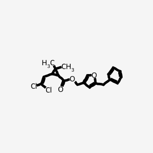 CC1(C)C(C=C(Cl)Cl)C1C(=O)OCc1coc(Cc2ccccc2)c1